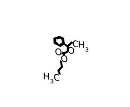 CCCCCOC(=O)C1OC1(CC)c1ccccc1